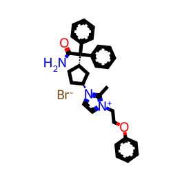 Cc1n([C@@H]2CC[C@H](C(C(N)=O)(c3ccccc3)c3ccccc3)C2)cc[n+]1CCOc1ccccc1.[Br-]